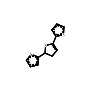 C1=C(c2cccs2)SC(c2cccs2)C1